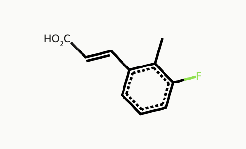 Cc1c(F)cccc1C=CC(=O)O